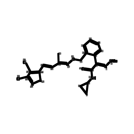 CO/N=C(/C(=O)NC1CC1)c1ccccc1CO/N=C(C)/C=C/c1snc(Cl)c1Cl